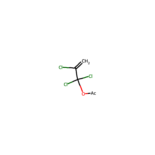 C=C(Cl)C(Cl)(Cl)OC(C)=O